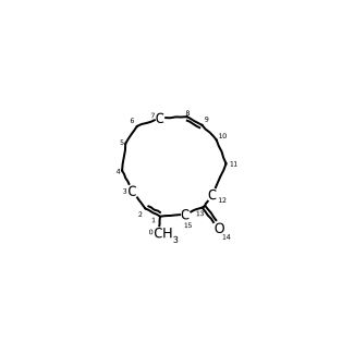 C/C1=C/CCCCC/C=C\CCCC(=O)C1